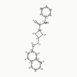 O=C(Nc1cccnc1)N1CC(COc2ccc3cccnc3c2)C1